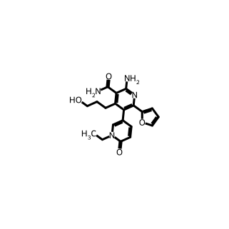 CCn1cc(-c2c(-c3ccco3)nc(N)c(C(N)=O)c2CCCO)ccc1=O